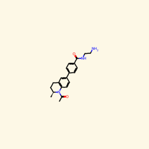 CC(=O)N1c2ccc(-c3ccc(C(=O)NCCN)cc3)cc2CC[C@@H]1C